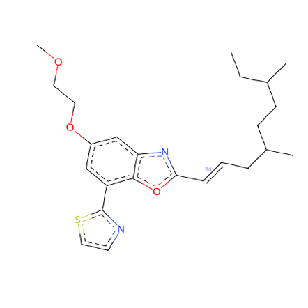 CCC(C)CCC(C)C/C=C/c1nc2cc(OCCOC)cc(-c3nccs3)c2o1